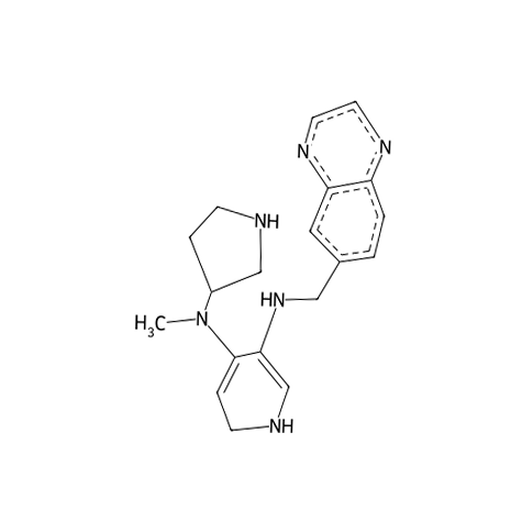 CN(C1=CCNC=C1NCc1ccc2nccnc2c1)C1CCNC1